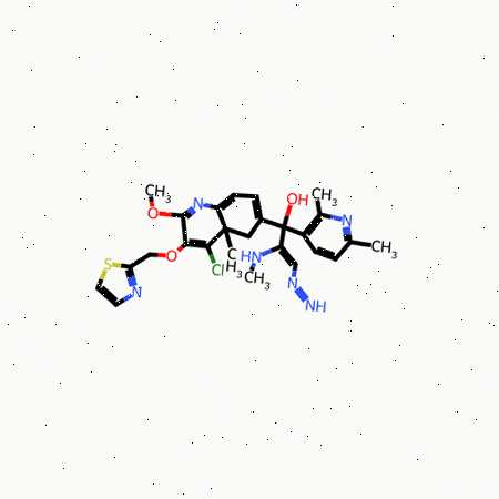 CN/C(=C\N=N)C(O)(C1=CC=C2N=C(OC)C(OCc3nccs3)=C(Cl)C2(C)C1)c1ccc(C)nc1C